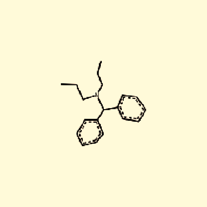 CCCN(CCC)C(c1ccccc1)c1ccccc1